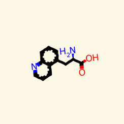 N[C@H](Cc1cccc2ncccc12)C(=O)O